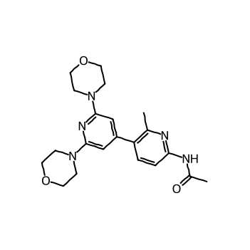 CC(=O)Nc1ccc(-c2cc(N3CCOCC3)nc(N3CCOCC3)c2)c(C)n1